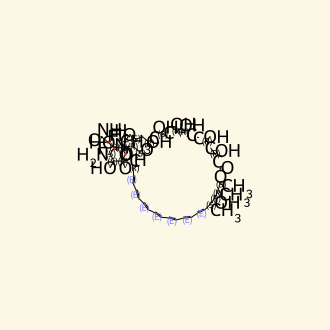 C[C@@H]1[C@H](O)[C@@H](C)/C=C/C=C/C=C/C=C/C=C/C=C/C=C/[C@H](O[C@@H]2O[C@H](C)[C@@H](O)[C@H](N)[C@@H]2O)C[C@@H]2O[C@](O)(C[C@@H](O)C[C@@H](O)[C@H](O)CC[C@@H](O)C[C@@H](O)CC(=O)O[C@H]1C)C[C@H](O)[C@H]2C(=O)NCC(F)(F)C(N)=O